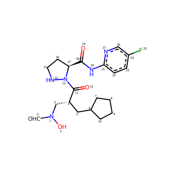 O=CN(O)C[C@@H](CC1CCCC1)C(=O)N1NCC[C@H]1C(=O)Nc1ccc(F)cn1